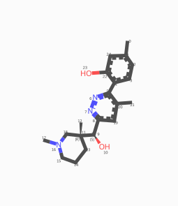 Cc1ccc(-c2nnc([C@@H](O)[C@]3(C)CCCN(C)C3)cc2C)c(O)c1